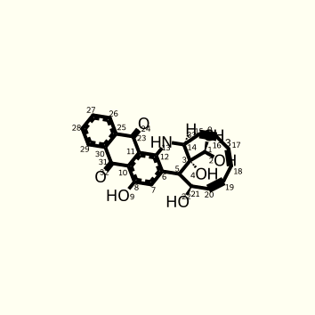 C[C@@H](O)[C@@]1(O)C2c3cc(O)c4c(c3N[C@H]1C#C/C=C\C#C[C@H]2O)C(=O)c1ccccc1C4=O